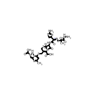 CC1=NC2=CN(C(=O)O)NN2C(SCC2=C(C(=O)O)N3C(=O)C(NC(=O)/C(=N\OC(C)(C)C(=O)NN)c4csc(N)n4)[C@H]3SC2)=C1